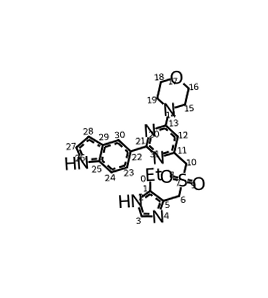 CCc1[nH]cnc1CS(=O)(=O)Cc1cc(N2CCOCC2)nc(-c2ccc3[nH]ccc3c2)n1